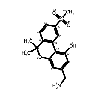 CC1(C)Oc2cc(CN)cc(O)c2-c2cc(S(C)(=O)=O)ccc21